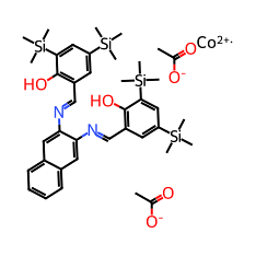 CC(=O)[O-].CC(=O)[O-].C[Si](C)(C)c1cc(C=Nc2cc3ccccc3cc2N=Cc2cc([Si](C)(C)C)cc([Si](C)(C)C)c2O)c(O)c([Si](C)(C)C)c1.[Co+2]